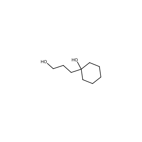 OCCCC1(O)CCCCC1